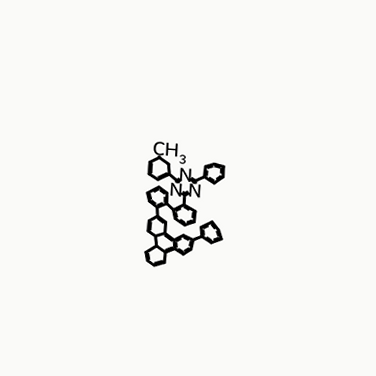 CC1C=CC=C(c2nc(-c3ccccc3)nc(-c3ccccc3-c3ccccc3C3=CC4=c5cc(-c6ccccc6)ccc5=C5C=CC=CC5C4C=C3)n2)C1